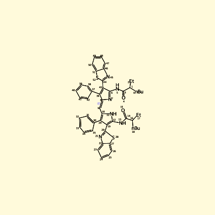 CCCCC(CC)C(=O)NC1=N/C(=C\c2[nH]c(NC(=O)C(CC)CCCC)c(-c3nc4ccccc4s3)c2-c2ccccc2)C(c2ccccc2)=C1c1nc2ccccc2s1